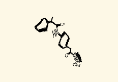 CC(C(=O)Nc1ccc(CC(=O)NO)cc1)c1ccccc1